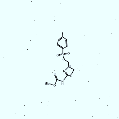 Cc1ccc(S(=O)(=O)OC[C@H]2CSC(NC(=O)OC(C)(C)C)=N2)cc1